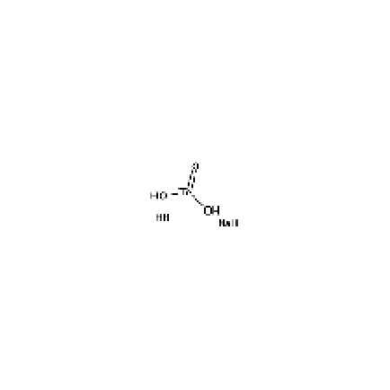 O=[Te](O)O.[HH].[NaH]